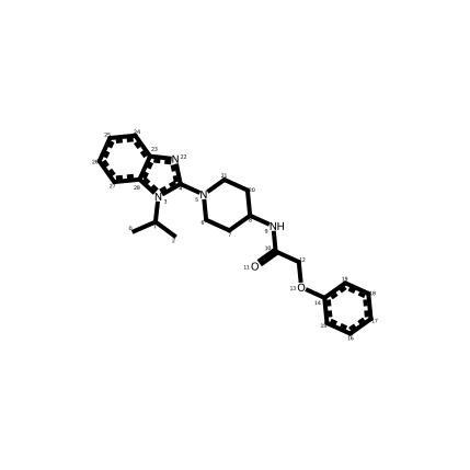 CC(C)n1c(N2CCC(NC(=O)COc3ccccc3)CC2)nc2ccccc21